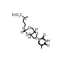 CCOC(=O)[C@@H](C)CCO[P@]1(=O)OC[C@@H]2O[C@H](n3cc(C)c(=O)[nH]c3=O)C[C@H]2O1